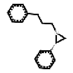 c1ccc(CCCN2C[C@@H]2c2ccccc2)cc1